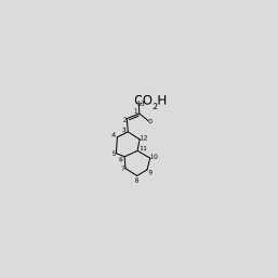 CC(=CC1CCC2CCCCC2C1)C(=O)O